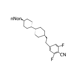 CCCCCCCCC[C@H]1CC[C@H]([C@H]2CC[C@H](CCc3cc(F)c(C#N)c(F)c3)CC2)CC1